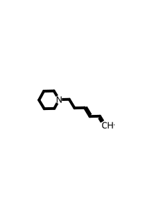 [CH]=CC=CCCN1CCCCC1